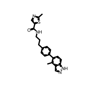 Cc1ncc(C(=O)NCCCc2ccc(-c3ccc4[nH]ncc4c3C)cc2)s1